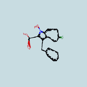 O=C(O)c1c(Cc2ccccc2)c2cc(Cl)ccc2n1O